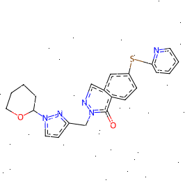 O=c1c2ccc(Sc3ccccn3)cc2cnn1Cc1ccn(C2CCCCO2)n1